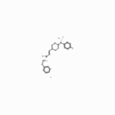 COc1ccc(Cc2noc(/C=C/C3CCC(C(c4ccc(F)cc4)N(C)C)CC3)n2)cc1